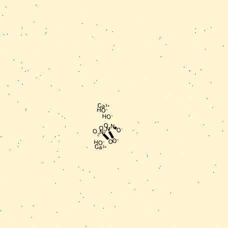 O=[N+]([O-])[O-].O=[N+]([O-])[O-].O=[N+]([O-])[O-].[Ga+3].[Ga+3].[OH-].[OH-].[OH-]